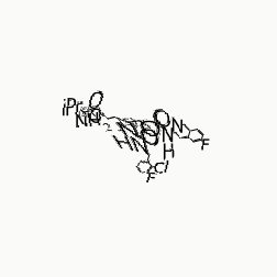 CC(C)[C@H](N)C(=O)OCCC[C@@H](COC(=O)Nc1cc2cc(F)ccc2cn1)N(C)C(=O)NCc1cccc(F)c1Cl